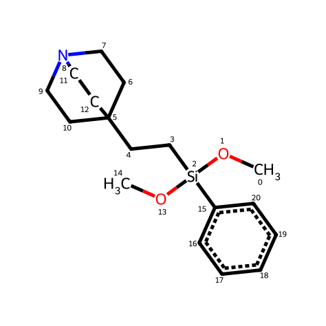 CO[Si](CCC12CCN(CC1)CC2)(OC)c1ccccc1